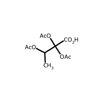 CC(=O)OC(C)C(OC(C)=O)(OC(C)=O)C(=O)O